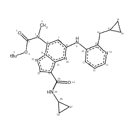 CN(C(=O)OC(C)(C)C)c1cc(Nc2cccnc2CC2CC2)nc2c(C(=O)NC3CC3)cnn12